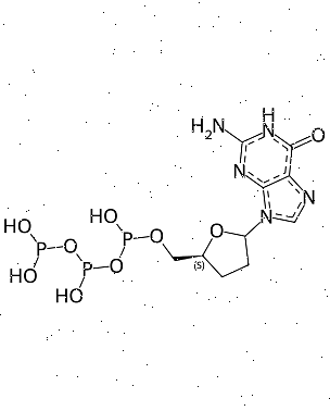 Nc1nc2c(ncn2C2CC[C@@H](COP(O)OP(O)OP(O)O)O2)c(=O)[nH]1